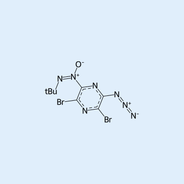 CC(C)(C)/N=[N+](/[O-])c1nc(N=[N+]=[N-])c(Br)nc1Br